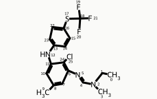 CCN(C)C=Nc1cc(C)cc(Nc2ccc(SC(F)(F)F)cc2)c1Cl